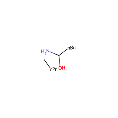 CCCC.CCCCC(N)O